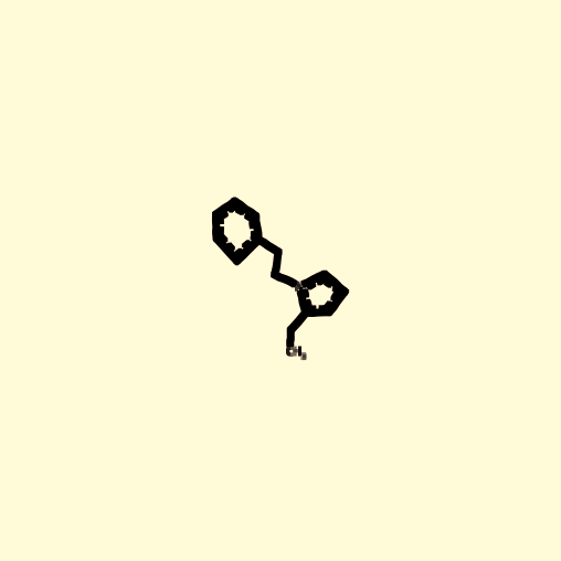 CCc1cccn1CCc1ccccc1